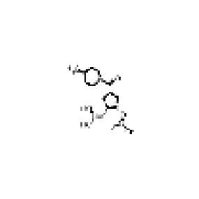 CC1CCN(C(=O)[C@@H]2C[C@H](ON(O)O)[C@H](ON(O)O)C2)CC1